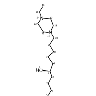 CCCC[C@@H](O)CCCCCN1CCN(CC)CC1